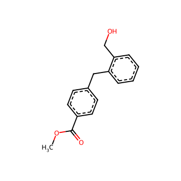 COC(=O)c1ccc(Cc2ccccc2CO)cc1